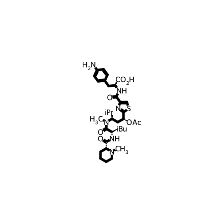 CC[C@H](C)[C@H](NC(=O)[C@H]1CCCCN1C)C(=O)N(C)[C@H](C[C@@H](OC(C)=O)c1nc(C(=O)N[C@@H](Cc2ccc(N)cc2)C(=O)O)cs1)C(C)C